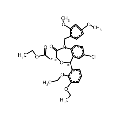 CCOC(=O)C[C@H]1O[C@H](c2cccc(OCC)c2OCC)c2cc(Cl)ccc2N(Cc2ccc(OC)cc2OC)C1=O